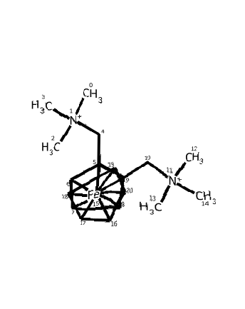 C[N+](C)(C)C[C]12[CH]3[CH]4[CH]5[C]1(C[N+](C)(C)C)[Fe]43521678[CH]2[CH]1[CH]6[CH]7[CH]28